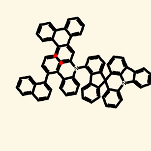 c1ccc(-c2cccc3ccccc23)c(-c2ccccc2N(c2ccc3c4ccccc4c4ccccc4c3c2)c2cccc3c2-c2ccccc2C32c3ccccc3-n3c4ccccc4c4cccc2c43)c1